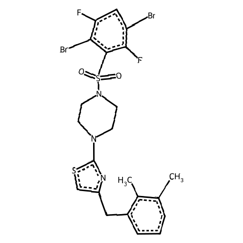 Cc1cccc(Cc2csc(N3CCN(S(=O)(=O)c4c(F)c(Br)cc(F)c4Br)CC3)n2)c1C